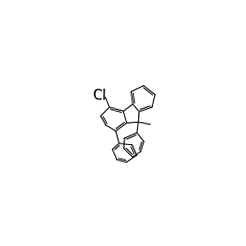 CC1(c2ccccc2)c2ccccc2-c2c(Cl)ccc(-c3ccccc3)c21